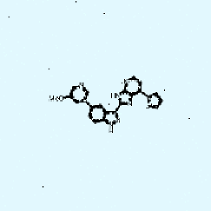 COc1cncc(-c2ccc3[nH]nc(-c4nc5c(-c6cccs6)ccnc5[nH]4)c3c2)c1